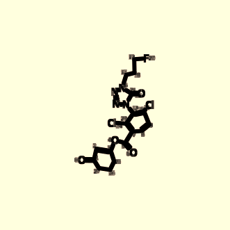 O=C1C=C(OC(=O)c2ccc(Cl)c(-n3nnn(CCCF)c3=O)c2Cl)CCC1